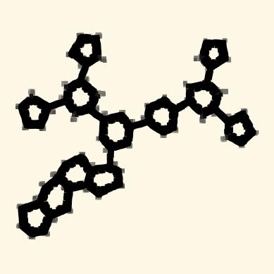 c1csc(-c2nc(-c3ccc(-c4cc(-c5nc(-c6cccs6)nc(-c6cccs6)n5)cc(-c5cccc6c5ccc5cc7ccccc7cc56)c4)cc3)nc(-c3cccs3)n2)c1